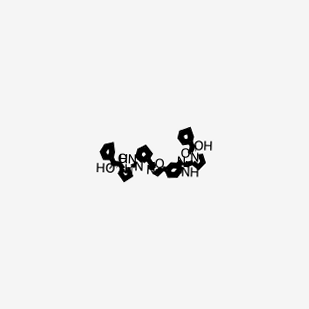 O=C([C@@H](O)c1ccccc1)N1CCCC1c1nc2cc(-c3cnc(-c4cccc5[nH]c([C@@H]6CCCN6C(=O)[C@H](O)c6ccccc6)nc45)o3)ccc2[nH]1